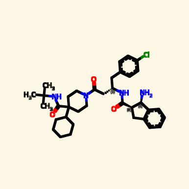 CC(C)(C)NC(=O)C1(C2CCCCC2)CCN(C(=O)C[C@H](Cc2ccc(Cl)cc2)NC(=O)[C@@H]2Cc3ccccc3[C@@H]2N)CC1